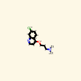 CCN(CC)CCCOc1ccnc2cc(Cl)ccc12